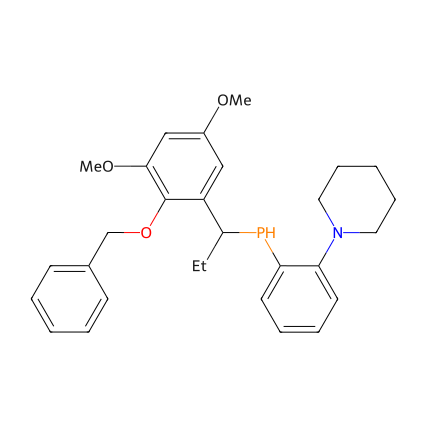 CCC(Pc1ccccc1N1CCCCC1)c1cc(OC)cc(OC)c1OCc1ccccc1